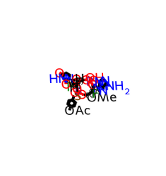 CO[C@@H]1COP(=O)(SCc2ccc(OC(C)=O)cc2)O[C@H]2[C@@H](F)[C@H](n3ccc(=O)[nH]c3=O)O[C@@H]2COP(=O)(O)O[C@@H](n2cnc3c(N)ncnc32)[C@@H]1F